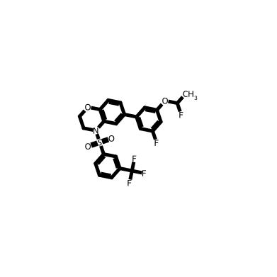 CC(F)Oc1cc(F)cc(-c2ccc3c(c2)N(S(=O)(=O)c2cccc(C(F)(F)F)c2)CCO3)c1